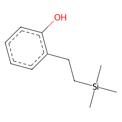 C[Si](C)(C)CCc1ccccc1O